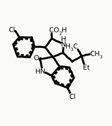 CCC(C)(C)CC1NC(C(=O)O)C(c2cccc(Cl)c2)C12C(=O)Nc1cc(Cl)ccc12